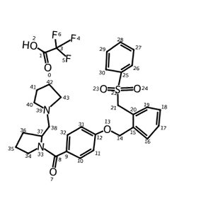 O=C(O)C(F)(F)F.O=C(c1ccc(OCc2ccccc2CS(=O)(=O)c2ccccc2)cc1)N1CCCC1CN1CCCC1